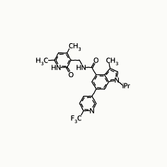 Cc1cc(C)c(CNC(=O)c2cc(-c3ccc(C(F)(F)F)nc3)cc3c2c(C)cn3C(C)C)c(=O)[nH]1